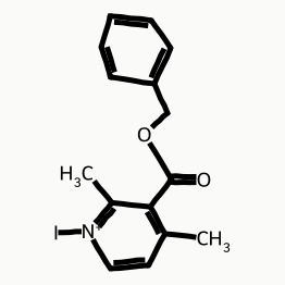 Cc1cc[n+](I)c(C)c1C(=O)OCc1ccccc1